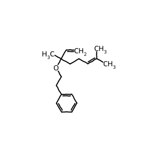 C=CC(C)(CCC=C(C)C)OCCc1ccccc1